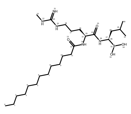 CCCCCCCCCCCCC(=O)N[C@@H](CCCNC(=N)NC)C(=O)N[C@@H](CC(C)C)B(O)O